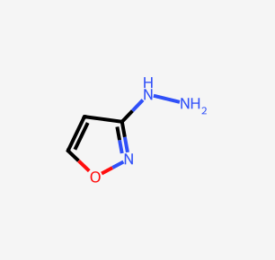 NNc1ccon1